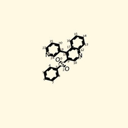 O=S(=O)(c1ccccc1)c1cnc2ccccc2c1-c1cccnc1